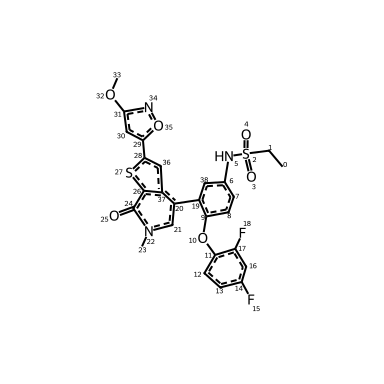 CCS(=O)(=O)Nc1ccc(Oc2ccc(F)cc2F)c(-c2cn(C)c(=O)c3sc(-c4cc(OC)no4)cc23)c1